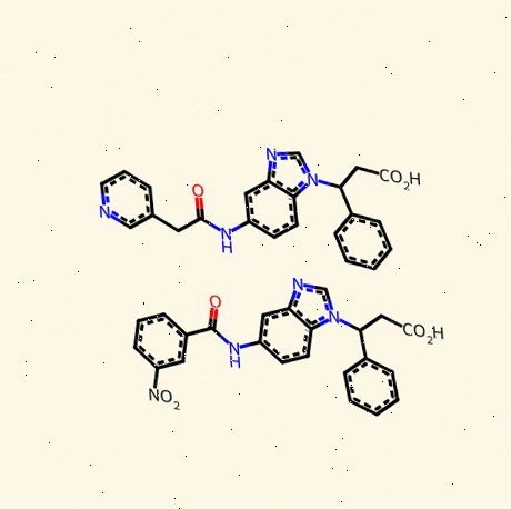 O=C(O)CC(c1ccccc1)n1cnc2cc(NC(=O)Cc3cccnc3)ccc21.O=C(O)CC(c1ccccc1)n1cnc2cc(NC(=O)c3cccc([N+](=O)[O-])c3)ccc21